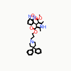 COC(=O)C1=C(C)NC(C)=C(C(=O)OCCCN2CCC(c3ccccc3)(c3ccccc3)CC2)C1c1cccc2nonc12